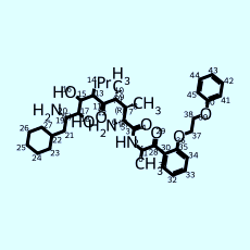 C[C](NC(=O)[C@H](N)[C@H](C)[C@@H](C)C(=O)C(C(C)C)C(O)C(O)[C@@H](N)CC1CCCCC1)C(=O)c1ccccc1OCCOc1ccccc1